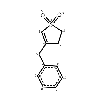 O=S1(=O)C=C(Cc2ccccc2)CC1